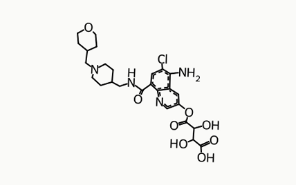 Nc1c(Cl)cc(C(=O)NCC2CCN(CC3CCOCC3)CC2)c2ncc(OC(=O)C(O)C(O)C(=O)O)cc12